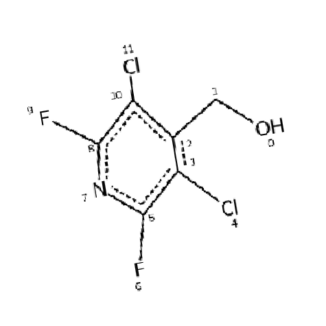 OCc1c(Cl)c(F)nc(F)c1Cl